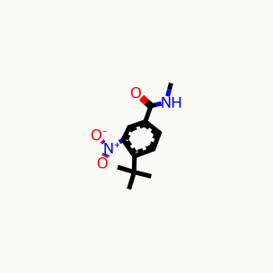 CNC(=O)c1ccc(C(C)(C)C)c([N+](=O)[O-])c1